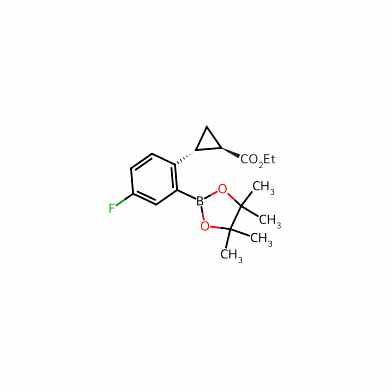 CCOC(=O)[C@@H]1C[C@H]1c1ccc(F)cc1B1OC(C)(C)C(C)(C)O1